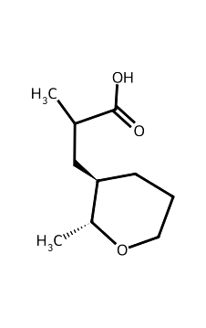 CC(C[C@H]1CCCO[C@@H]1C)C(=O)O